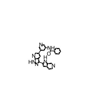 O=C(Nc1cncc(-c2cnc3[nH]nc(-c4cc5ccncc5[nH]4)c3c2)c1)c1ccccc1